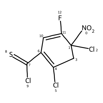 O=[N+]([O-])C1(Cl)CC(Cl)=C(C(=S)Cl)C=C1F